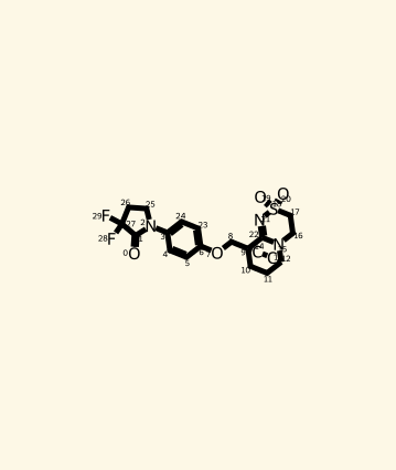 O=C1N(c2ccc(OCC34CCC(CC3)N3CCS(=O)(=O)N=C34)cc2)CCC1(F)F